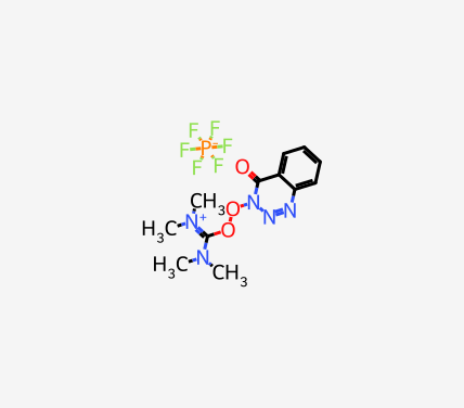 CN(C)C(OOn1nnc2ccccc2c1=O)=[N+](C)C.F[P-](F)(F)(F)(F)F